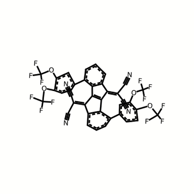 N#CC(C#N)=C1C2=C(C(=C(C#N)C#N)c3cccc(-c4ccc(OC(F)(F)F)c(OC(F)(F)F)c4)c32)c2c1cccc2-c1ccc(OC(F)(F)F)c(OC(F)(F)F)c1